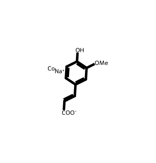 COc1cc(C=CC(=O)[O-])ccc1O.[Co].[Na+]